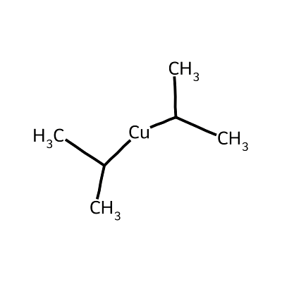 C[CH](C)[Cu][CH](C)C